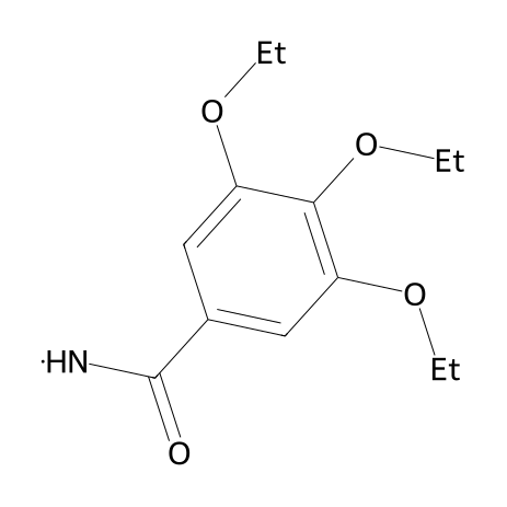 CCOc1cc(C([NH])=O)cc(OCC)c1OCC